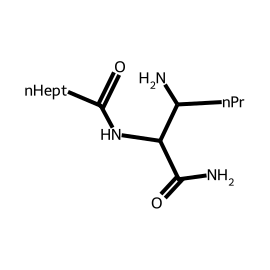 CCCCCCCC(=O)NC(C(N)=O)C(N)CCC